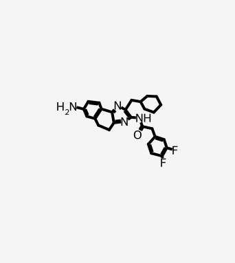 Nc1ccc2c(c1)CCc1nc(NC(=O)Cc3ccc(F)c(F)c3)c(CC3CCCCC3)nc1-2